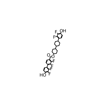 O=C(OC1CCC(C2CCC(c3ccc(O)c(F)c3F)CC2)CC1)c1ccc(-c2ccc(O)c(F)c2F)c(F)c1F